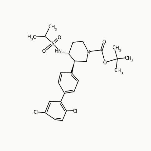 CC(C)S(=O)(=O)N[C@@H]1CCN(C(=O)OC(C)(C)C)C[C@H]1c1ccc(-c2cc(Cl)ccc2Cl)cc1